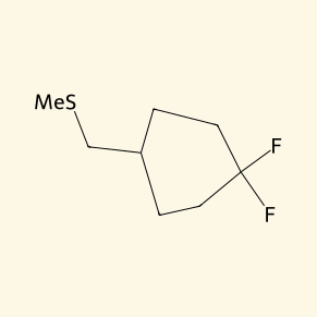 CSCC1CCC(F)(F)CC1